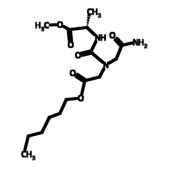 CCCCCCOC(=O)CN(CC(N)=O)C(=O)N[C@@H](C)C(=O)OC